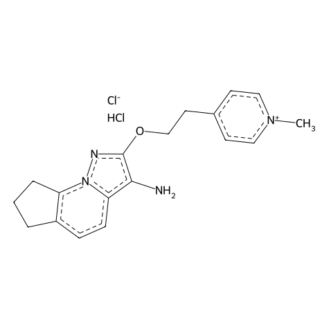 C[n+]1ccc(CCOc2nn3c4c(ccc3c2N)CCC4)cc1.Cl.[Cl-]